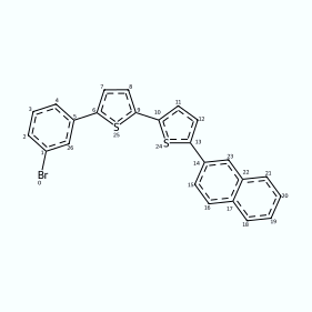 Brc1cccc(-c2ccc(-c3ccc(-c4ccc5ccccc5c4)s3)s2)c1